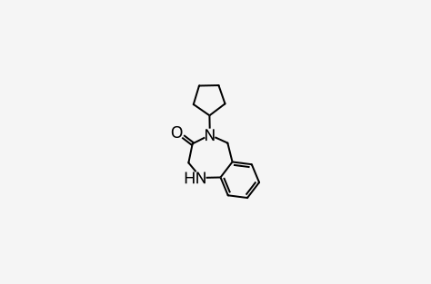 O=C1CNc2ccccc2CN1C1CCCC1